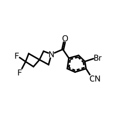 N#Cc1ccc(C(=O)N2CC3(C2)CC(F)(F)C3)cc1Br